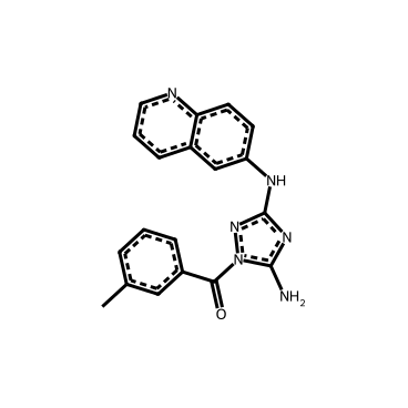 Cc1cccc(C(=O)n2nc(Nc3ccc4ncccc4c3)nc2N)c1